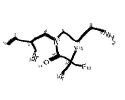 CCC(Br)CN(CCCN)C(=O)C(F)(F)F